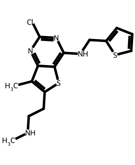 CNCCc1sc2c(NCc3cccs3)nc(Cl)nc2c1C